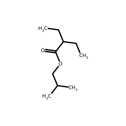 [CH2]CC(CC)C(=O)OCC(C)C